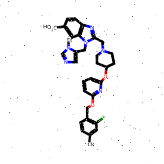 CCn1cncc1Cn1c(CN2CCC(Oc3cccc(OCc4ccc(C#N)cc4F)n3)CC2)nc2ccc(C(=O)O)cc21